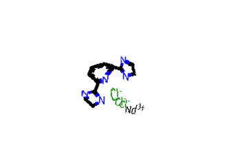 C1=NC(c2cccc(C3=NCC=N3)n2)=NC1.[Cl-].[Cl-].[Cl-].[Nd+3]